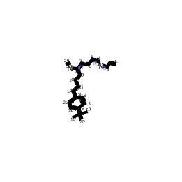 C=C/C=N\C=C/C/C=C(\CCCCc1ccc(C(C)(C)C)cc1)N=C